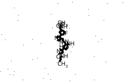 CCCC(=O)Nc1cncc(-c2ccc3[nH]nc(-c4cc5c(-c6cc(F)cc(CNS(C)(=O)=O)c6)cncc5[nH]4)c3c2)c1